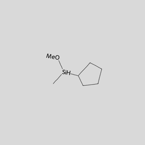 CO[SiH](C)C1CCCC1